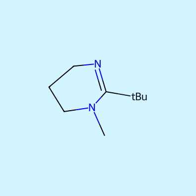 CN1CCCN=C1C(C)(C)C